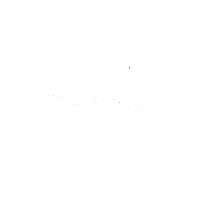 COc1ccc(S(=O)(=O)NC(=O)c2c(-c3ccc[nH]c3=O)c3cc(OC(F)(F)F)ccc3n2Cc2ccnc(N)c2)cc1